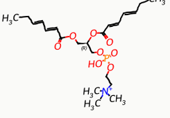 CCC=CC=CC(=O)OC[C@H](COP(=O)(O)OCC[N+](C)(C)C)OC(=O)C=CC=CCC